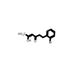 O=C(/C=C(\O)C(=O)O)CCc1ccccc1Br